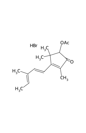 Br.CC=C(C)C=CC1=C(C)C(=O)C(OC(C)=O)C1(C)C